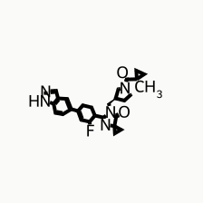 CC1(C(=O)N2CC[C@@H](CN3C(=O)C4(CC4)N=C3C3CCC(c4ccc5[nH]ncc5c4)=CC3F)C2)CC1